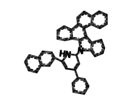 C1=C(c2ccccc2)C=C(c2ccc3ccccc3c2)NC1n1c2ccccc2c2c3c4ccccc4ccc3c3ccccc3c21